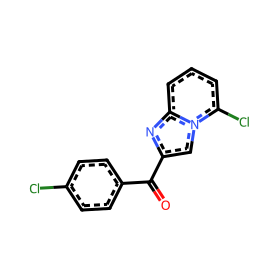 O=C(c1ccc(Cl)cc1)c1cn2c(Cl)cccc2n1